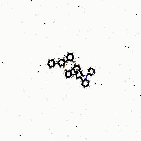 C1=c2c(n(-c3ccccc3)c3ccccc23)=CCC1c1cccc2c1-c1ccccc1Sc1ccccc1-c1ccc(-c3ccccc3)cc1S2